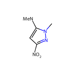 CNc1cc([N+](=O)[O-])nn1C